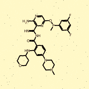 CN1CCN(c2ccc(C(=O)NC(=N)c3nc(OP(C)c4cc(F)cc(F)c4)cnc3N)c(NC3CCOCC3)c2)CC1